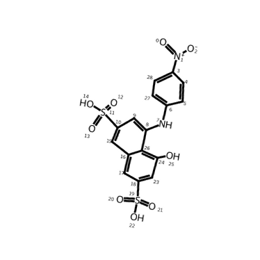 O=[N+]([O-])c1ccc(Nc2cc(S(=O)(=O)O)cc3cc(S(=O)(=O)O)cc(O)c23)cc1